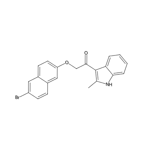 Cc1[nH]c2ccccc2c1C(=O)COc1ccc2cc(Br)ccc2c1